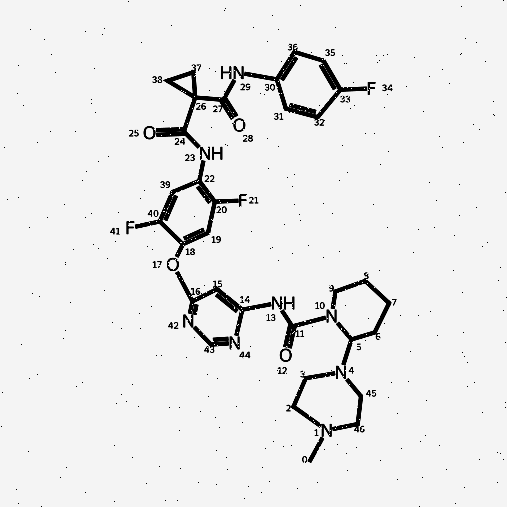 CN1CCN(C2CCCCN2C(=O)Nc2cc(Oc3cc(F)c(NC(=O)C4(C(=O)Nc5ccc(F)cc5)CC4)cc3F)ncn2)CC1